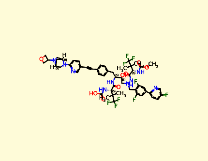 COC(=O)N[C@H](C(=O)NN(Cc1c(F)cc(-c2ccc(F)cn2)cc1F)C[C@H](O)[C@H](Cc1ccc(C#Cc2ccc(N3C[C@H]4C[C@@H]3CN4C3COC3)nc2)cc1)NC(=O)[C@@H](NC(=O)O)C(C)(C)C(F)(F)F)C(C)(C)C(F)(F)F